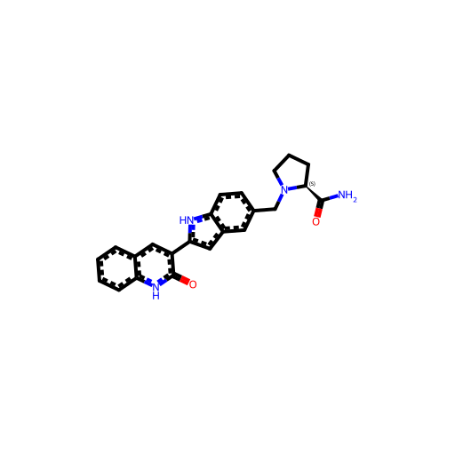 NC(=O)[C@@H]1CCCN1Cc1ccc2[nH]c(-c3cc4ccccc4[nH]c3=O)cc2c1